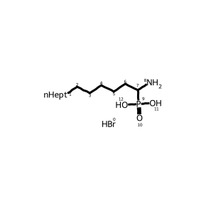 Br.CCCCCCCCCCCCC(N)P(=O)(O)O